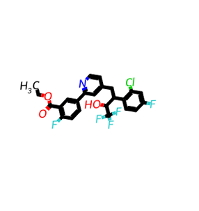 CCOC(=O)c1cc(-c2cc(CC(c3ccc(F)cc3Cl)C(O)C(F)(F)F)ccn2)ccc1F